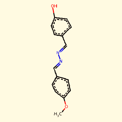 COc1ccc(C=NN=Cc2ccc(O)cc2)cc1